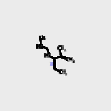 C=C(C)/C(=C\C)NCNC(C)CC